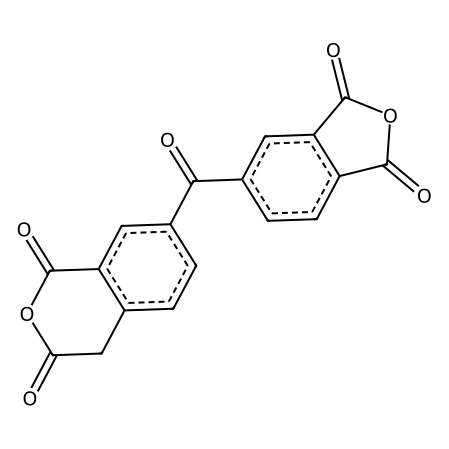 O=C1Cc2ccc(C(=O)c3ccc4c(c3)C(=O)OC4=O)cc2C(=O)O1